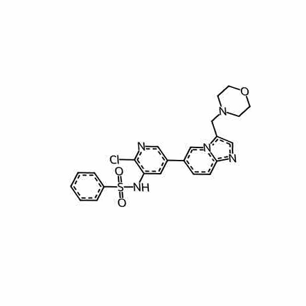 O=S(=O)(Nc1cc(-c2ccc3ncc(CN4CCOCC4)n3c2)cnc1Cl)c1ccccc1